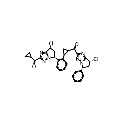 O=C(c1nc2n(n1)[C@H](c1ccccc1C1CC1C(=O)c1nc3n(n1)[C@@H](c1ccccc1)C[C@H]3Cl)C[C@@H]2Cl)C1CC1